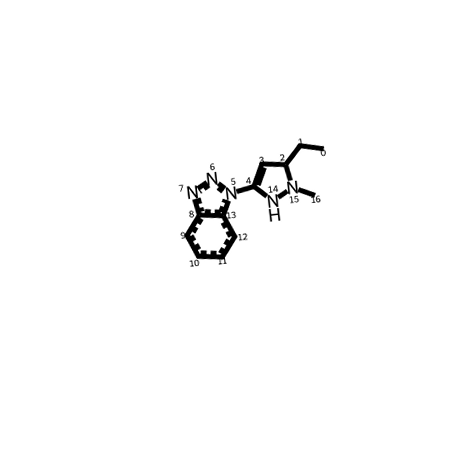 CCC1C=C(n2nnc3ccccc32)NN1C